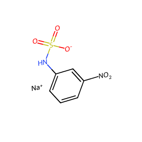 O=[N+]([O-])c1cccc(NS(=O)(=O)[O-])c1.[Na+]